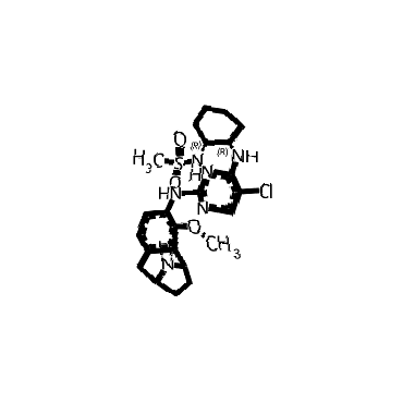 COc1c(Nc2ncc(Cl)c(N[C@@H]3CCCC[C@H]3NS(C)(=O)=O)n2)ccc2c1C1CCC(C2)N1